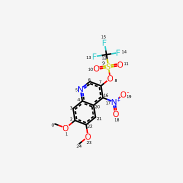 COc1cc2ncc(OS(=O)(=O)C(F)(F)F)c([N+](=O)[O-])c2cc1OC